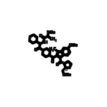 CNC(C)C(=O)NC(C(=O)N1CCN(C(=O)c2c(C(=O)N3CCC[C@H]3COC)c3ccc(OC)cc3n2C)CC1)C1CCCCC1